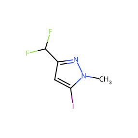 Cn1nc(C(F)F)cc1I